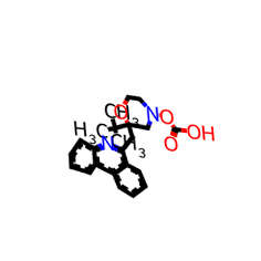 CC(C)(C)C1(Cc2nc3ccccc3c3ccccc23)CN(OC(=O)O)CCO1